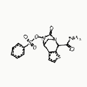 NC(=O)C1c2sccc2C2CN1C(=O)N2OS(=O)(=O)c1ccccc1